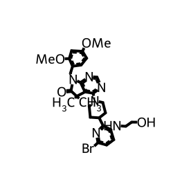 COc1ccc(CN2C(=O)C(C)(C)c3c(N4CCC(c5nc(Br)ccc5NCCO)CC4)ncnc32)c(OC)c1